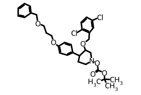 CC(C)(C)OC(=O)ON1CCC(c2ccc(OCCCOCc3ccccc3)cc2)C(OCc2cc(Cl)ccc2Cl)C1